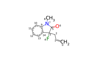 C=CCC1(F)C(=O)N(C)c2ccccc21